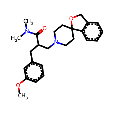 COc1cccc(CC(CN2CCC3(CC2)OCc2ccccc23)C(=O)N(C)C)c1